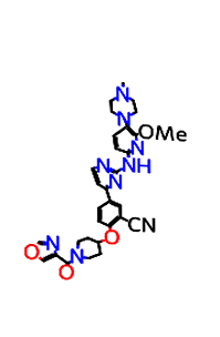 COc1nc(Nc2nccc(-c3ccc(OC4CCN(C(=O)c5cocn5)CC4)c(C#N)c3)n2)ccc1N1CCN(C)CC1